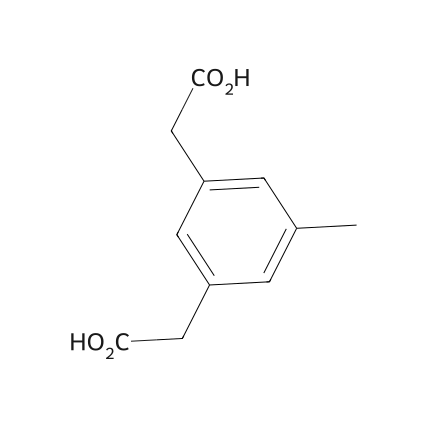 Cc1cc(CC(=O)O)cc(CC(=O)O)c1